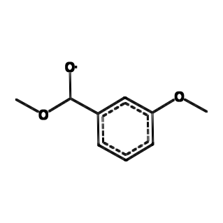 COc1cccc(C([O])OC)c1